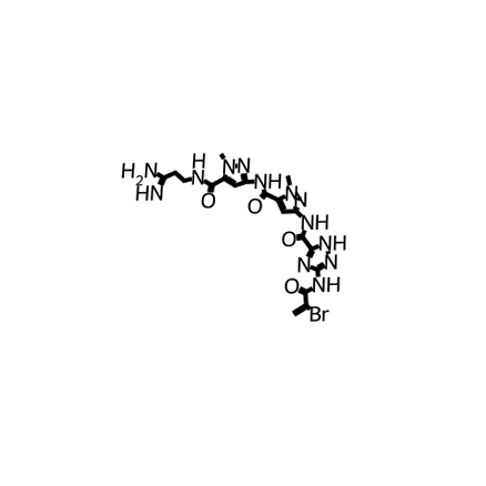 C=C(Br)C(=O)Nc1n[nH]c(C(=O)Nc2cc(C(=O)Nc3cc(C(=O)NCCC(=N)N)n(C)n3)n(C)n2)n1